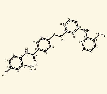 Cc1cccnc1Nc1ccnc(SCc2ccc(C(=O)Nc3ccc(F)cc3N)cc2)n1